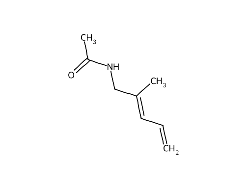 C=C/C=C(\C)CNC(C)=O